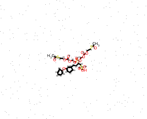 CC(=O)SCCOC(=O)OCOP(=O)(OCOC(=O)OCCSC(C)=O)C(CCc1cccc(Oc2ccccc2)c1)CS(=O)(=O)O